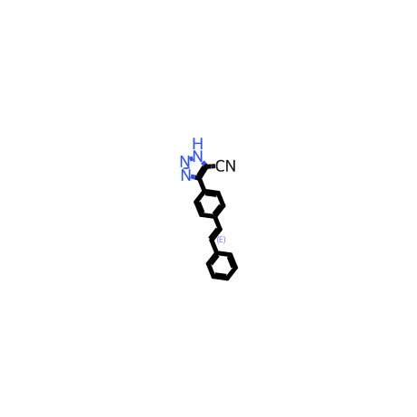 N#Cc1[nH]nnc1-c1ccc(/C=C/c2ccccc2)cc1